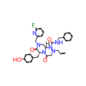 C=CCN1CC(=O)N2[C@@H](Cc3ccc(O)cc3)C(=O)N(Cc3cccc(F)n3)C[C@@H]2N1C(=O)NCc1ccccc1